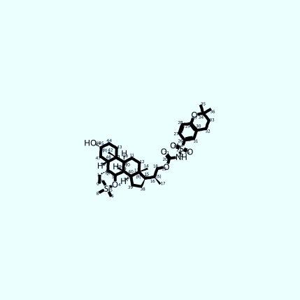 CC[C@H]1C(O[Si](C)(C)C)[C@@H]2[C@H](CC[C@]3(C)[C@@H]([C@H](C)COC(=O)NS(=O)(=O)c4ccc5c(c4)CCC(C)(C)O5)CC[C@@H]23)[C@@]2(C)CC[C@@H](O)C[C@@H]12